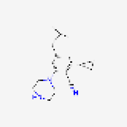 CC(C)Cc1cc(C2CC2)c(C#N)c(N2CCNCC2)c1